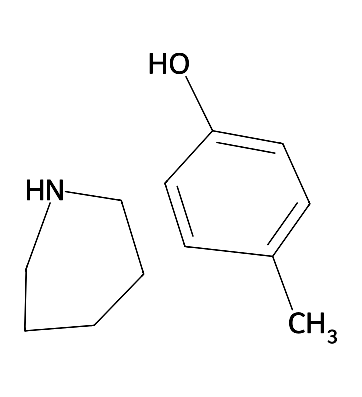 C1CCNCC1.Cc1ccc(O)cc1